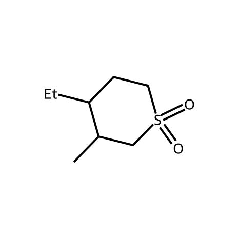 CCC1CCS(=O)(=O)CC1C